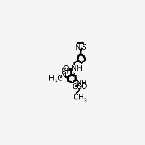 CCCS(=O)(=O)Nc1ccc(N(C)C)c(C(=O)NCc2cccc(-c3nccs3)c2)c1